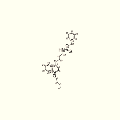 CCCCOc1ccc(CCCCNC(=O)OCc2ccccc2)c2ccccc12